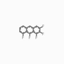 Fc1[c]c2cc3cccc(F)c3c(F)c2c(F)c1F